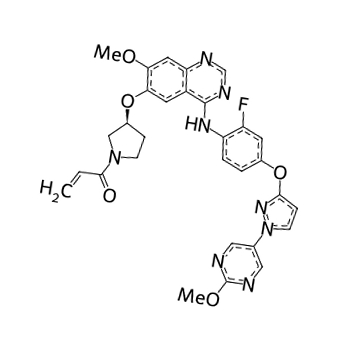 C=CC(=O)N1CC[C@H](Oc2cc3c(Nc4ccc(Oc5ccn(-c6cnc(OC)nc6)n5)cc4F)ncnc3cc2OC)C1